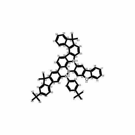 CC(C)(C)c1ccc(N2B3c4cc5oc6ccccc6c5cc4-n4c5ccc6c(c5c5ccc(c3c54)-c3cc4c(cc32)-c2ccc(C(C)(C)C)cc2C4(C)C)-c2ccccc2C6(C)C)cc1